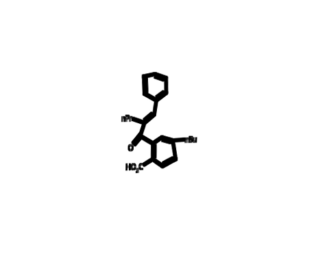 CCCCc1ccc(C(=O)O)c(C(=O)C(=Cc2ccccc2)CCC)c1